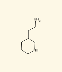 NCCC1[CH]NCCC1